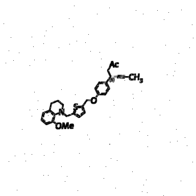 CC#C[C@@H](CC(C)=O)c1ccc(OCc2ccc(CN3CCCc4cccc(OC)c43)s2)cc1